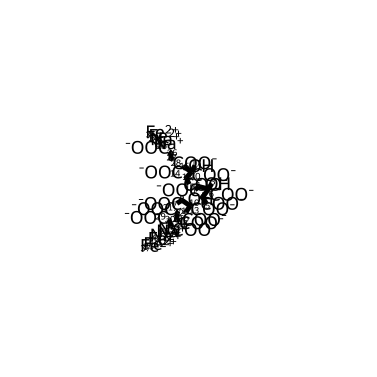 O=C([O-])CC(O)(CC(=O)[O-])C(=O)[O-].O=C([O-])CC(O)(CC(=O)[O-])C(=O)[O-].O=C([O-])CC(O)(CC(=O)[O-])C(=O)[O-].O=C([O-])CCC(=O)[O-].O=C([O-])CCC(=O)[O-].O=C([O-])CCC(=O)[O-].[Fe+2].[Fe+2].[Fe+2].[Fe+2].[Fe+2].[Na+].[Na+].[Na+].[Na+].[Na+]